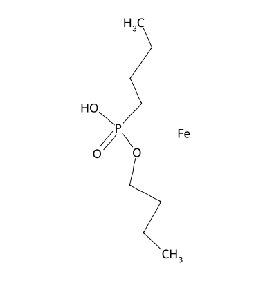 CCCCOP(=O)(O)CCCC.[Fe]